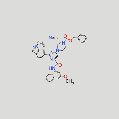 COc1cc(NC(=O)c2cc(N3CCN(C(=O)OCc4ccccc4)[C@@H](CC#N)C3)nc(-c3ccc4cnn(C)c4c3)n2)c2ccccc2c1